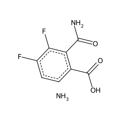 N.NC(=O)c1c(C(=O)O)ccc(F)c1F